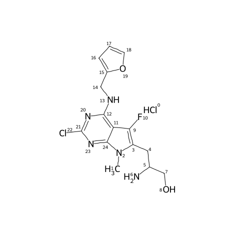 Cl.Cn1c(CC(N)CO)c(F)c2c(NCc3ccco3)nc(Cl)nc21